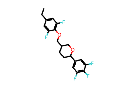 CCc1cc(F)c(OCC2CCC(c3cc(F)c(F)c(F)c3)OC2)c(F)c1